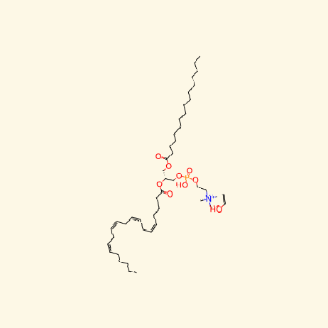 C=CO.CCCCC/C=C\C/C=C\C/C=C\C/C=C\CCCC(=O)O[C@H](COC(=O)CCCCCCCCCCCCCCC)COP(=O)(O)OCC[N+](C)(C)C